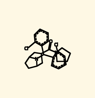 O=C(C1CC2CCC(C1)N2C(c1ccccc1Cl)c1ccccc1Cl)N1CCCC1